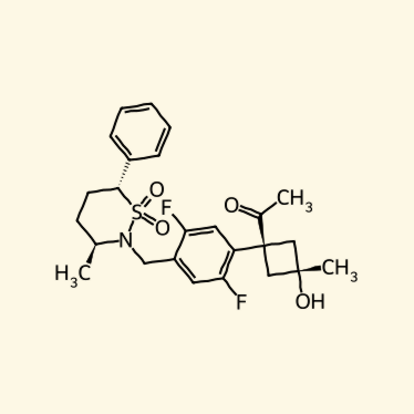 CC(=O)[C@]1(c2cc(F)c(CN3[C@@H](C)CC[C@H](c4ccccc4)S3(=O)=O)cc2F)C[C@@](C)(O)C1